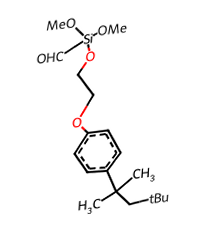 CO[Si](C=O)(OC)OCCOc1ccc(C(C)(C)CC(C)(C)C)cc1